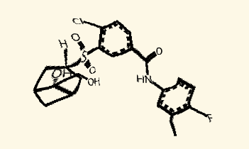 Cc1cc(NC(=O)c2ccc(Cl)c(S(=O)(=O)[C@H]3CC4CC(C3)[C@]4(O)CO)c2)ccc1F